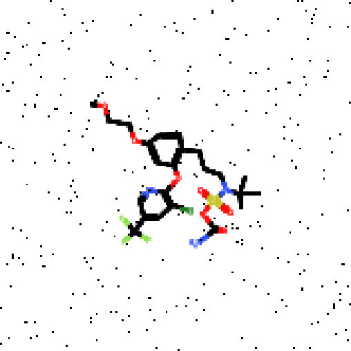 COCCOc1ccc(CCCN(C(C)(C)C)S(=O)(=O)OC(N)=O)c(Oc2ncc(C(F)(F)F)cc2Cl)c1